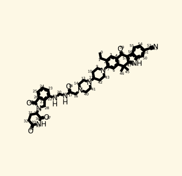 CCc1cc2c(cc1N1CCC(N3CCN(CC(=O)NCNc4cccc5c4CN(C4CCC(=O)NC4=O)C5=O)CC3)CC1)C(C)(C)c1[nH]c3cc(C#N)ccc3c1C2=O